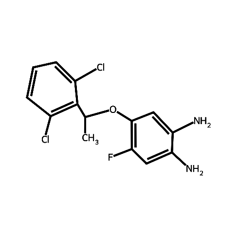 CC(Oc1cc(N)c(N)cc1F)c1c(Cl)cccc1Cl